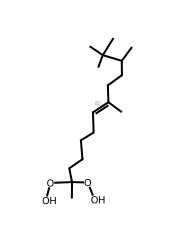 C/C(=C\CCCCC(C)(OO)OO)CCC(C)C(C)(C)C